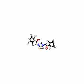 Cc1cc(C)c(C)c(C(=O)Cn2cc[n+](CC(=O)c3c(C)c(C)cc(C)c3C)c2)c1C.[Br-]